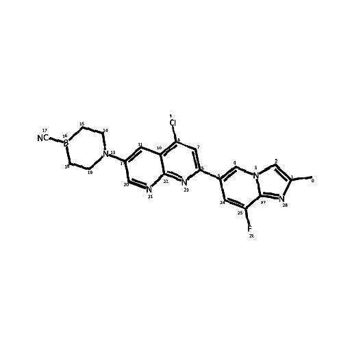 Cc1cn2cc(-c3cc(Cl)c4cc(N5CCB(C#N)CC5)cnc4n3)cc(F)c2n1